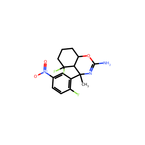 CC1(c2cc([N+](=O)[O-])ccc2F)N=C(N)OC2CCCC(F)(F)C21